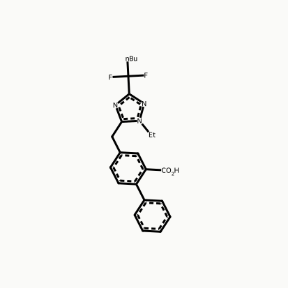 CCCCC(F)(F)c1nc(Cc2ccc(-c3ccccc3)c(C(=O)O)c2)n(CC)n1